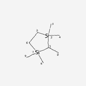 CC1[Si](C)(C)CC[Si]1(C)C